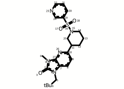 Cn1c(=O)n(CC(C)(C)C)c2ccc(C3CCCN(S(=O)(=O)c4cccnc4)C3)nc21